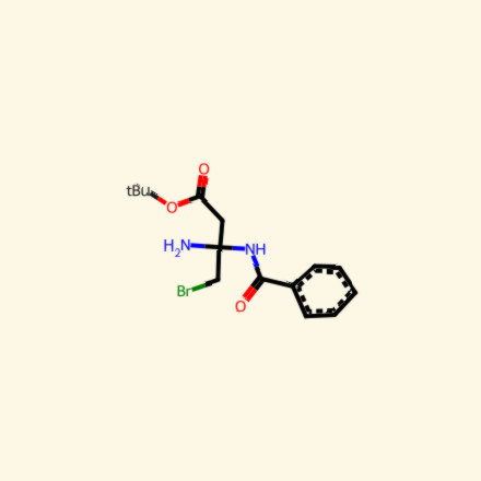 CC(C)(C)OC(=O)CC(N)(CBr)NC(=O)c1ccccc1